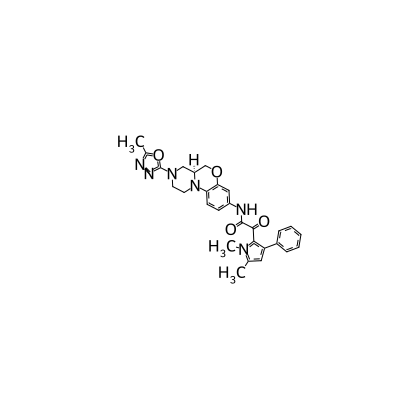 Cc1nnc(N2CCN3c4ccc(NC(=O)C(=O)c5c(-c6ccccc6)cc(C)n5C)cc4OC[C@@H]3C2)o1